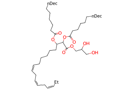 CC/C=C\C/C=C\C/C=C\CCCCCC(OC(=O)CCCCCCCCCCCCCCC)C(OC(=O)CCCCCCCCCCCCCCC)C(=O)OCC(O)CO